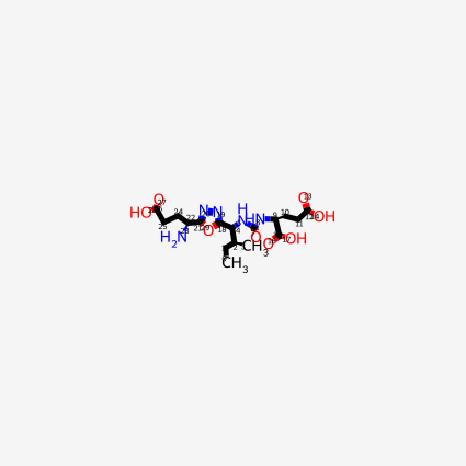 CC[C@H](C)C(NC(=O)N[C@@H](CCC(=O)O)C(=O)O)c1nnc([C@@H](N)CCC(=O)O)o1